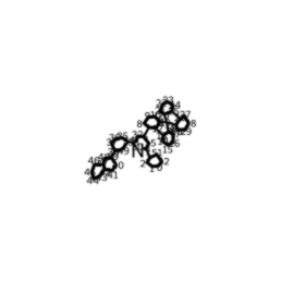 c1ccc(-c2cc(-c3cccc4c3-c3ccccc3C43c4ccccc4-c4ccccc43)cc(-c3cccc(-c4ccc5ccccc5c4)c3)n2)cc1